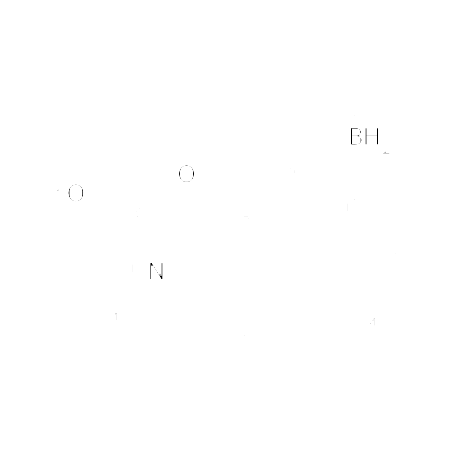 BC1(C)CCCCC2C(C1)OC(=O)N2C